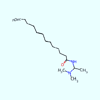 CCCCCCCCCCCCCCCCCCCCCC(=O)NC(C)N(C)C